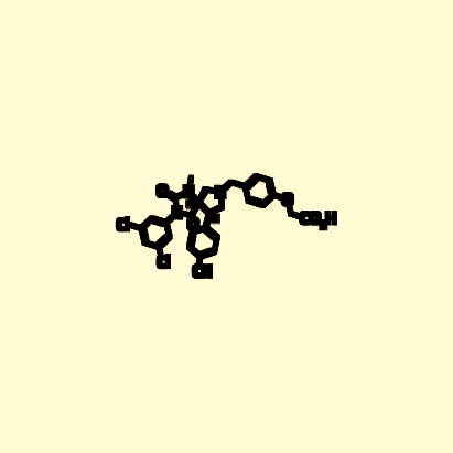 CN1C(=O)N(c2cc(Cl)cc(Cl)c2)C(=O)[C@]12CN(Cc1ccc(OCC(=O)O)cc1)C[C@H]2c1ccc(C#N)cc1